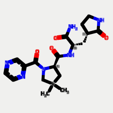 C[Si]1(C)C[C@H](C(=O)N[C@@H](C[C@@H]2CCNC2=O)C(N)=O)N(C(=O)c2cnccn2)C1